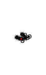 C=C1C(OC=O)CC(OC(=O)c2ccccc2)C1COC(=O)c1ccc(-c2ccccc2)cc1